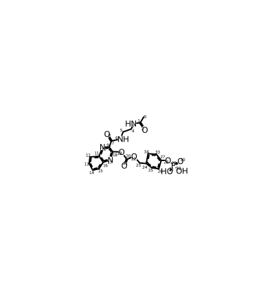 CC(=O)NCCNC(=O)c1nc2ccccc2nc1OC(=O)OCc1ccc(OP(=O)(O)O)cc1